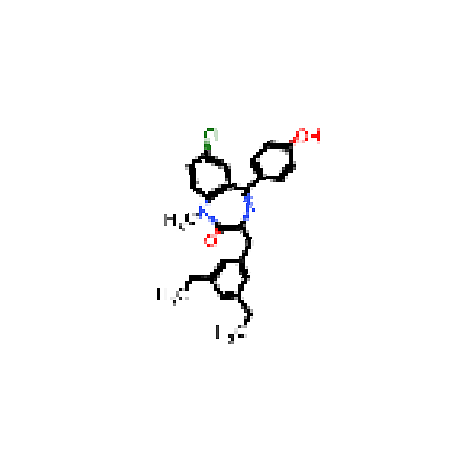 CCc1cc(CC)cc(CC2N=C(c3ccc(O)cc3)c3cc(Cl)ccc3N(C)C2=O)c1